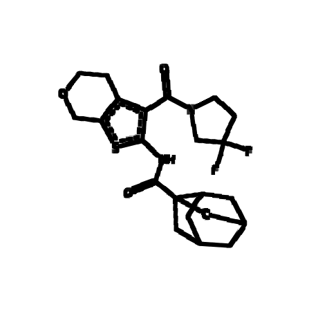 O=C(c1c(NC(=O)C23CC4CC(CC2C4)C3)sc2c1CCOC2)N1CCC(F)(F)C1